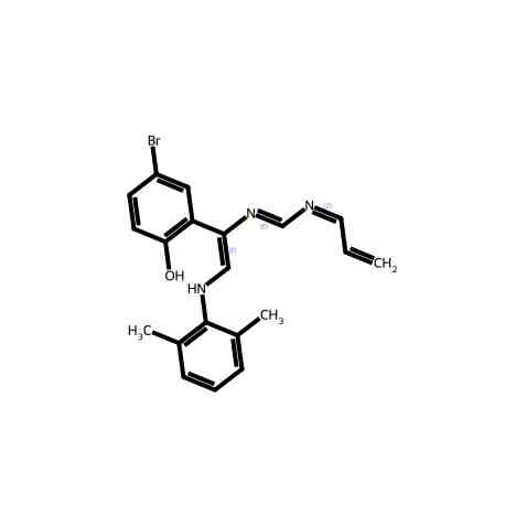 C=C\C=N/C=N/C(=C/Nc1c(C)cccc1C)c1cc(Br)ccc1O